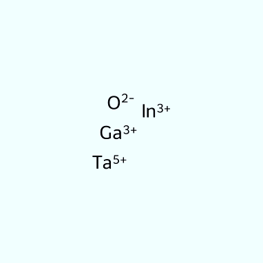 [Ga+3].[In+3].[O-2].[Ta+5]